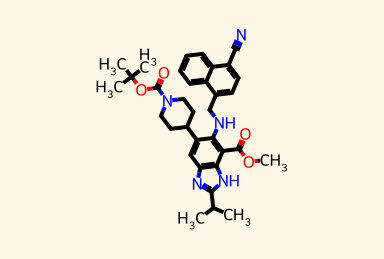 COC(=O)c1c(NCc2ccc(C#N)c3ccccc23)c(C2CCN(C(=O)OC(C)(C)C)CC2)cc2nc(C(C)C)[nH]c12